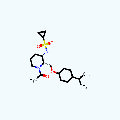 CC(=O)N1CCC[C@H](NS(=O)(=O)C2CC2)[C@@H]1COC1CCC(C(C)C)CC1